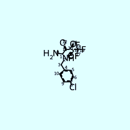 NC(NCc1ccc(Cl)cc1)C(=O)S(=O)(=O)C(F)(F)F